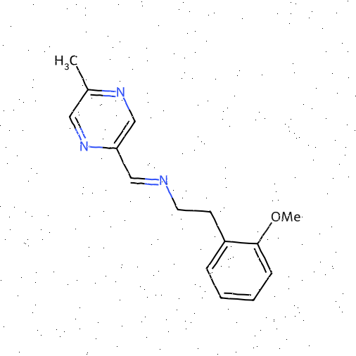 COc1ccccc1CCN=Cc1cnc(C)cn1